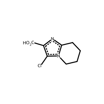 O=C(O)c1nc2n(c1Cl)CCCC2